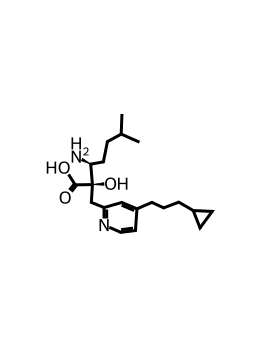 CC(C)CC[C@H](N)[C@](O)(Cc1cc(CCCC2CC2)ccn1)C(=O)O